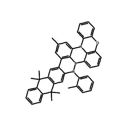 Cc1cc2c3c(c1)N1c4ccccc4Oc4cccc(c41)B3N(c1ccccc1C)c1cc3c(cc1-2)C(C)(C)c1ccccc1C3(C)C